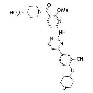 COc1nc(Nc2nccc(-c3ccc(OC4CCOCC4)c(C#N)c3)n2)ccc1C(=O)N1CCC(C(=O)O)CC1